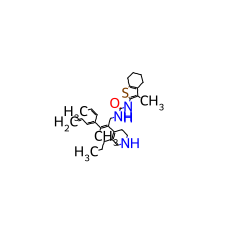 C=C/C=C(\C=C/C)C(/C)=C(\CNC(=O)Nc1sc2c(c1C)CCCC2)C1=C(CCC)CNCC1